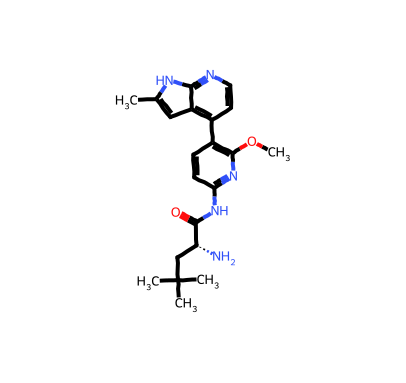 COc1nc(NC(=O)[C@H](N)CC(C)(C)C)ccc1-c1ccnc2[nH]c(C)cc12